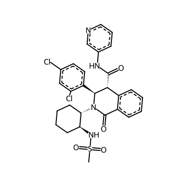 CS(=O)(=O)N[C@H]1CCCC[C@@H]1N1C(=O)c2ccccc2[C@@H](C(=O)Nc2cccnc2)[C@@H]1c1ccc(Cl)cc1Cl